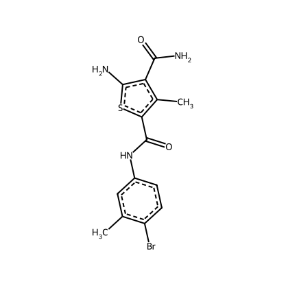 Cc1cc(NC(=O)c2sc(N)c(C(N)=O)c2C)ccc1Br